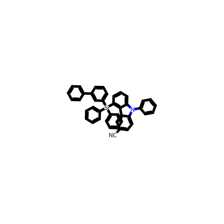 N#Cc1ccc2c(c1)c1c([Si](c3ccccc3)(c3ccccc3)c3cccc(-c4ccccc4)c3)cccc1n2-c1ccccc1